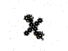 CC12CCCCC1(C)c1cc(-c3ccc4c(-c5ccc(-c6ccccc6)cc5)c5cc(-c6ccc7c(c6)C6(C)CCCCC6(C)S7)ccc5c(-c5ccc(-c6ccccc6)cc5)c4c3)ccc1S2